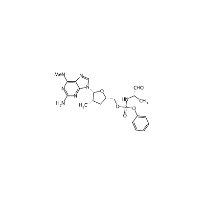 CNc1nc(N)nc2c1ncn2[C@@H]1O[C@H](COP(=O)(N[C@@H](C)C=O)Oc2ccccc2)C[C@@H]1C